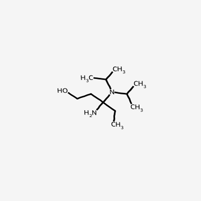 CCC(N)(CCO)N(C(C)C)C(C)C